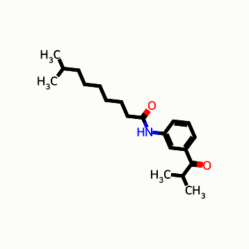 CC(C)CCCCCCC(=O)Nc1cccc(C(=O)C(C)C)c1